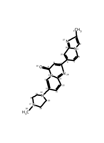 Cc1cn2ccc(-c3cc(=O)n4cc(N5CCN(C)CC5)ccc4n3)cc2n1